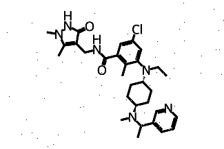 CCN(c1cc(Cl)cc(C(=O)NCc2c(C)n(C)[nH]c2=O)c1C)[C@H]1CC[C@H](N(C)C(C)c2cccnc2)CC1